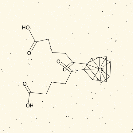 O=C(O)CCCC(=O)[C]12[CH]3[CH]4[CH]5[CH]1[Fe]45321678[CH]2[CH]1[CH]6[C]7(C(=O)CCCC(=O)O)[CH]28